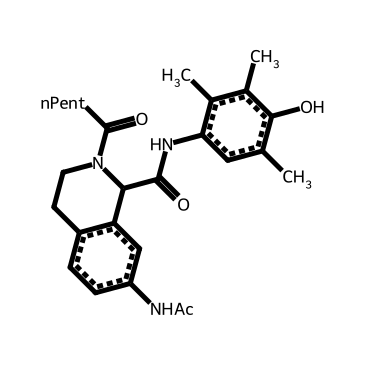 CCCCCC(=O)N1CCc2ccc(NC(C)=O)cc2C1C(=O)Nc1cc(C)c(O)c(C)c1C